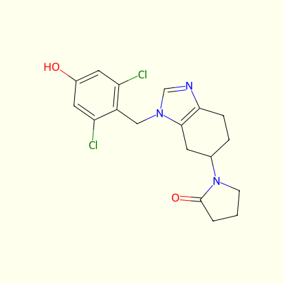 O=C1CCCN1C1CCc2ncn(Cc3c(Cl)cc(O)cc3Cl)c2C1